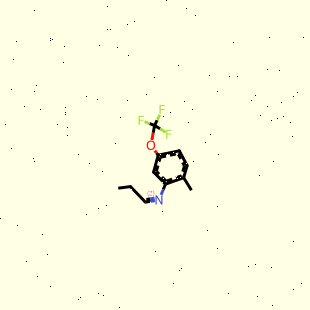 CC/C=N\c1cc(OC(F)(F)F)ccc1C